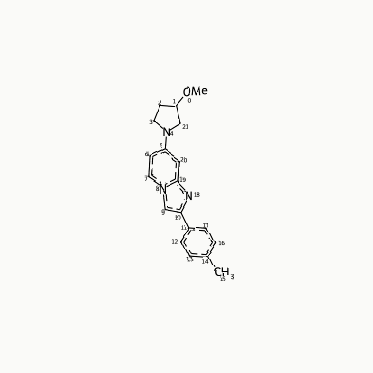 COC1CCN(c2ccn3cc(-c4ccc(C)cc4)nc3c2)C1